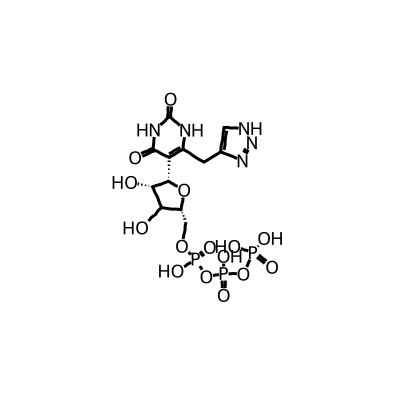 O=c1[nH]c(Cc2c[nH]nn2)c([C@@H]2O[C@H](COP(=O)(O)OP(=O)(O)OP(=O)(O)O)C(O)[C@@H]2O)c(=O)[nH]1